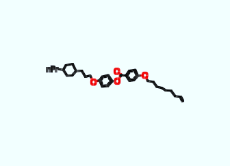 C=CCCCCCCCOc1ccc(C(=O)Oc2ccc(OCCCC3CCC(CCC)CC3)cc2)cc1